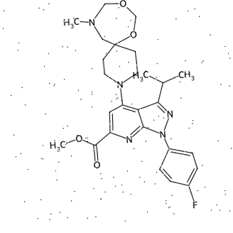 COC(=O)c1cc(N2CCC3(CC2)CN(C)COCO3)c2c(C(C)C)nn(-c3ccc(F)cc3)c2n1